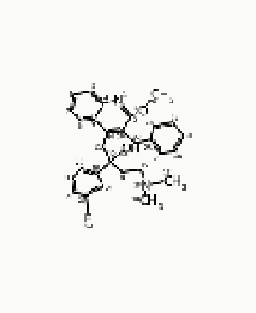 COc1nc2ccccc2c(CC(O)(CCN(C)C)c2cccc(F)c2)c1Cc1ccccc1